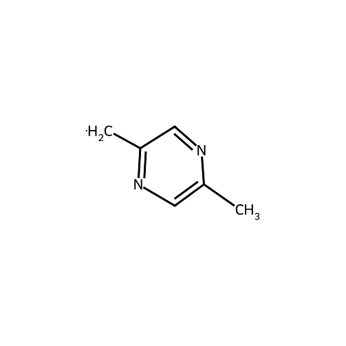 [CH2]c1cnc(C)cn1